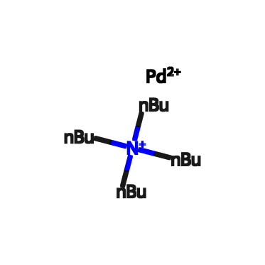 CCCC[N+](CCCC)(CCCC)CCCC.[Pd+2]